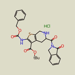 CC(C)(C)OC(=O)c1c(NC(=O)OCc2ccccc2)sc2c1CC(C(=O)N1Cc3ccccc3C1=O)NC2.Cl